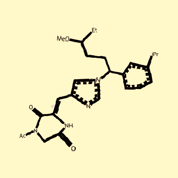 CCC(CCC(c1cccc(C(C)C)c1)n1cnc(/C=C2\NC(=O)CN(C(C)=O)C2=O)c1)OC